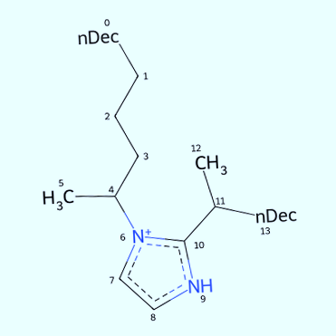 CCCCCCCCCCCCCC(C)[n+]1cc[nH]c1C(C)CCCCCCCCCC